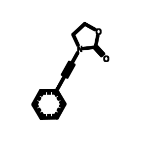 O=C1OCCN1C#Cc1ccccc1